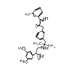 Cc1cccc(NC(=O)Cc2cccc(CC(C)(C)NCC(O)c3cc(O)cc(O)c3)c2)n1